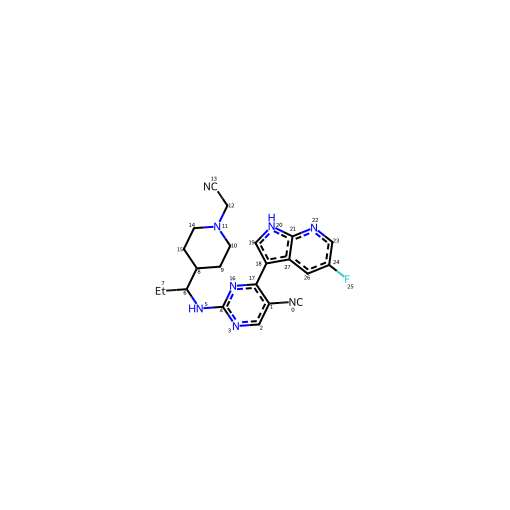 [C-]#[N+]c1cnc(NC(CC)C2CCN(CC#N)CC2)nc1-c1c[nH]c2ncc(F)cc12